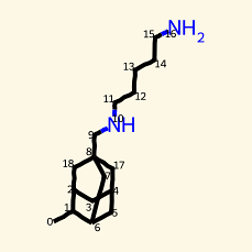 CC1C2CC3CC1CC(CNCCCCCN)(C3)C2